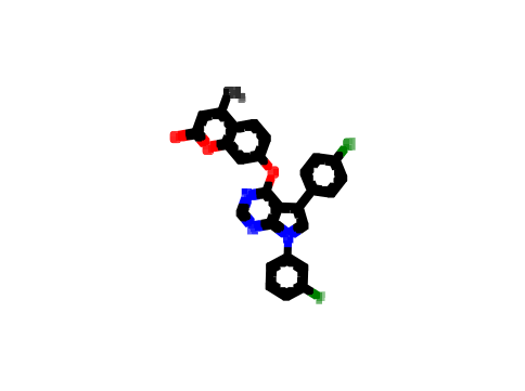 Cc1cc(=O)oc2cc(Oc3ncnc4c3c(-c3ccc(Cl)cc3)cn4-c3cccc(F)c3)ccc12